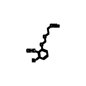 COCCOCOc1cccc(Br)c1C=O